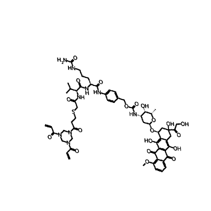 C=CC(=O)N1CN(C(=O)C=C)CN(C(=O)CCSCC(=O)N[C@H](C(=O)N[C@@H](CCCNC(N)=O)C(=O)Nc2ccc(COC(=O)N[C@H]3C[C@H](O[C@H]4C[C@](O)(C(=O)CO)Cc5c(O)c6c(c(O)c54)C(=O)c4c(OC)cccc4C6=O)O[C@@H](C)[C@H]3O)cc2)C(C)C)C1